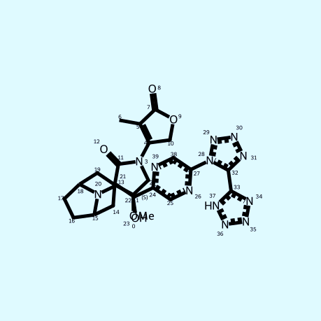 COC1CN(C2=C(C)C(=O)OC2)C(=O)C12CC1CCC(C2)N1C[C@H](O)c1cnc(-n2nnnc2-c2nnn[nH]2)cn1